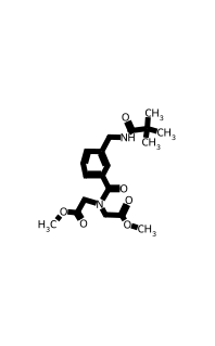 COC(=O)CN(CC(=O)OC)C(=O)c1cccc(CNC(=O)C(C)(C)C)c1